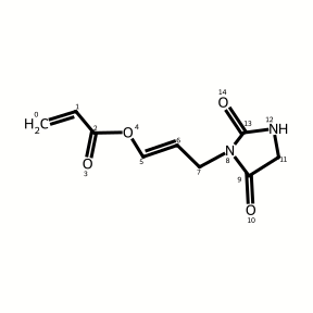 C=CC(=O)OC=CCN1C(=O)CNC1=O